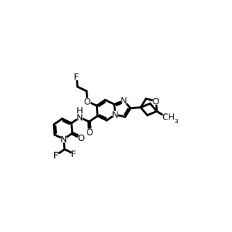 CC12CC(c3cn4cc(C(=O)Nc5cccn(C(F)F)c5=O)c(OCCF)cc4n3)(CO1)C2